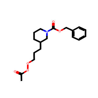 CC(=O)OOCCCC1CCCN(C(=O)OCc2ccccc2)C1